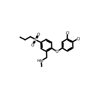 CCCS(=O)(=O)c1ccc(Oc2ccc(Cl)c(Cl)c2)c(CNC)c1